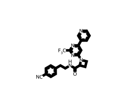 N#Cc1ccc(CCNC(=O)C2CCN2c2cc(-c3cccnc3)nc(C(F)(F)F)n2)cc1